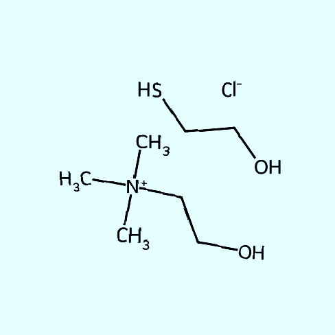 C[N+](C)(C)CCO.OCCS.[Cl-]